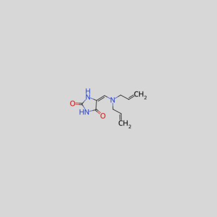 C=CCN(C=C1NC(=O)NC1=O)CC=C